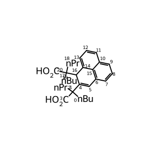 CCCCC(CCC)(C(=O)O)C1=Cc2cccc3cccc(c23)C1C(CCC)(CCCC)C(=O)O